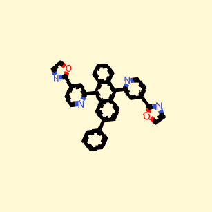 c1ccc(-c2ccc3c(-c4cc(-c5ncco5)ccn4)c4ccccc4c(-c4cc(-c5ncco5)ccn4)c3c2)cc1